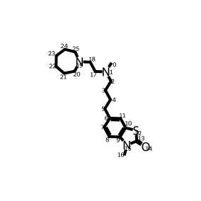 CN(CCCCc1ccc2c(c1)sc(=O)n2C)CCN1CCCCCC1